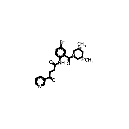 C[C@@H]1C[C@H](C)CN(C(=O)c2cc(Br)ccc2NC(=O)CCC(=O)c2cccnc2)C1